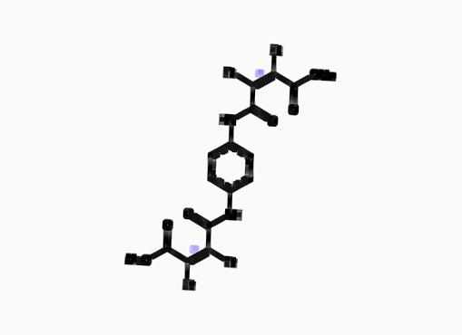 CC/C(C(=O)Nc1ccc(NC(=O)/C(CC)=C(/CC)C(=O)OC)cc1)=C(\CC)C(=O)OC